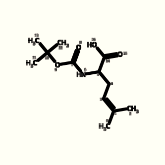 CC(C)=CCC(NC(=O)OC(C)(C)C)C(=O)O